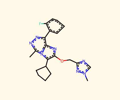 Cc1nnc(-c2ccccc2F)c2nc(OCc3ncn(C)n3)c(C3CCCC3)n12